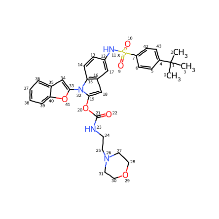 CC(C)(C)c1ccc(S(=O)(=O)Nc2ccc3c(c2)cc(OC(=O)NCCN2CCOCC2)n3-c2cc3ccccc3o2)cc1